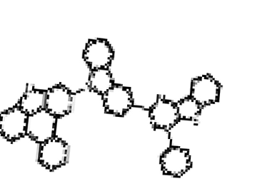 c1ccc(-c2nc(-c3ccc4c(c3)c3ccccc3n4-c3cc4oc5cccc6c7ccccc7c(c3)c4c56)nc3c2sc2ccccc23)cc1